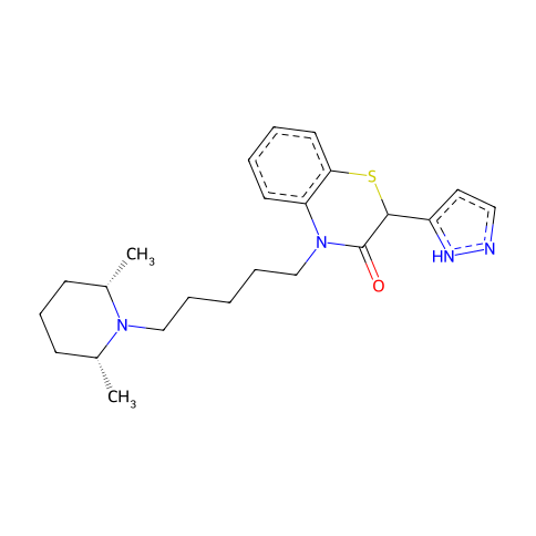 C[C@@H]1CCC[C@H](C)N1CCCCCN1C(=O)C(c2ccn[nH]2)Sc2ccccc21